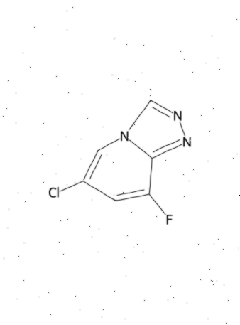 Fc1cc(Cl)cn2cnnc12